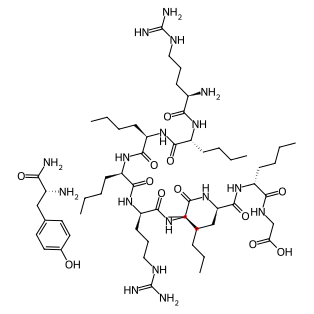 CCCC[C@@H](NC(=O)[C@H](N)CCCNC(=N)N)C(=O)N[C@H](CCCC)C(=O)N[C@H](CCCC)C(=O)N[C@H](CCCNC(=N)N)C(=O)N[C@H](CCCC)C(=O)N[C@H](CCCC)C(=O)N[C@H](CCCC)C(=O)NCC(=O)O.NC(=O)[C@H](N)Cc1ccc(O)cc1